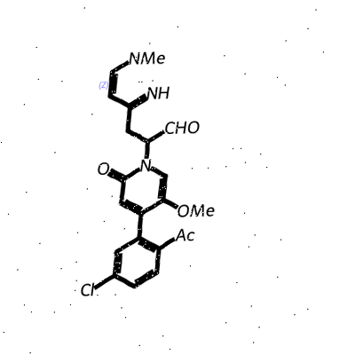 CN/C=C\C(=N)CC(C=O)n1cc(OC)c(-c2cc(Cl)ccc2C(C)=O)cc1=O